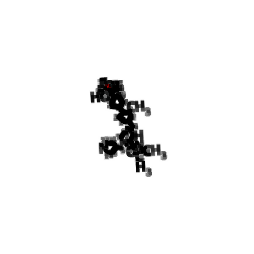 Cc1cc(CN2CCN(Cc3ccncc3)C(C(=O)NC(C)C)C2)ccc1-c1ccc(C(O)(C(F)(F)F)C(F)(F)F)cc1